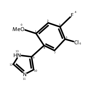 COc1cc(F)c(Cl)cc1-c1cnc[nH]1